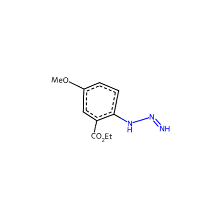 CCOC(=O)c1cc(OC)ccc1NN=N